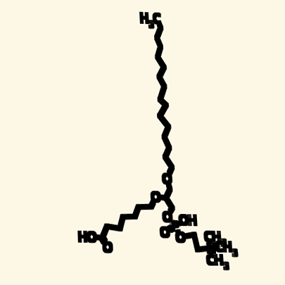 CCCCCCCCCCCCCCCCOCC(COP(=O)(O)OCC[N+](C)(C)C)OCCCCCCC(=O)O